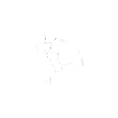 Cc1cccc(-c2sc(C3CC3)nc2C(=O)N2[C@@H]3CC[C@@H](C3)[C@H]2CN)c1